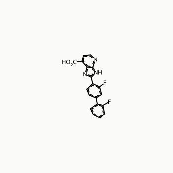 O=C(O)c1ccnc2[nH]c(-c3ccc(-c4ccccc4F)cc3F)nc12